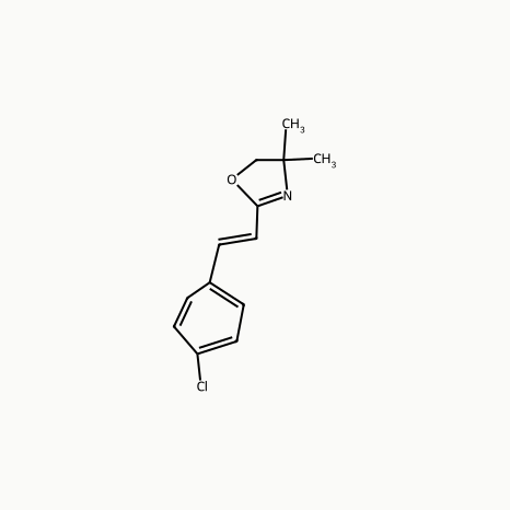 CC1(C)COC(C=Cc2ccc(Cl)cc2)=N1